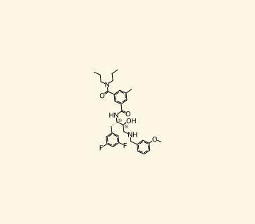 CCCN(CCC)C(=O)c1cc(C)cc(C(=O)N[C@@H](Cc2cc(F)cc(F)c2)[C@@H](O)CNCc2cccc(OC)c2)c1